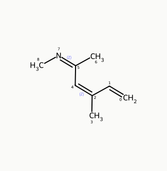 C=C/C(C)=C\C(C)=N/C